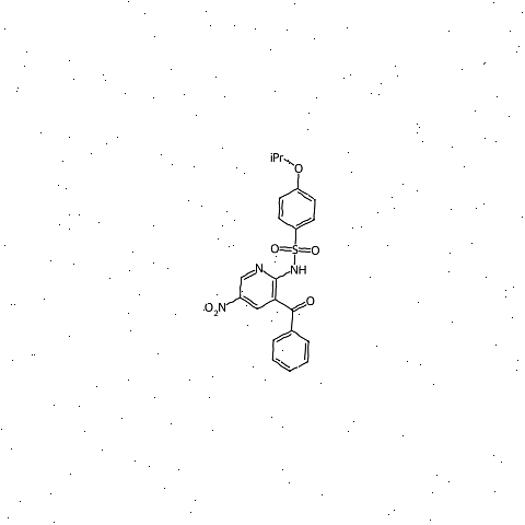 CC(C)Oc1ccc(S(=O)(=O)Nc2ncc([N+](=O)[O-])cc2C(=O)c2ccccc2)cc1